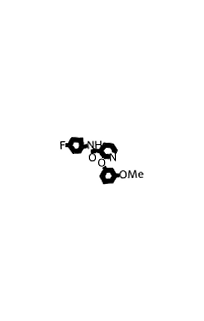 COc1cccc(Oc2ncccc2C(=O)Nc2ccc(F)cc2)c1